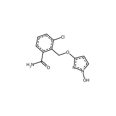 NC(=O)c1cccc(Cl)c1COc1ccn(O)n1